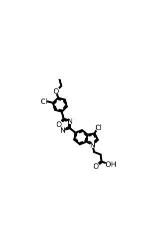 CCOc1ccc(-c2nc(-c3ccc4c(c3)c(Cl)cn4CCC(=O)O)no2)cc1Cl